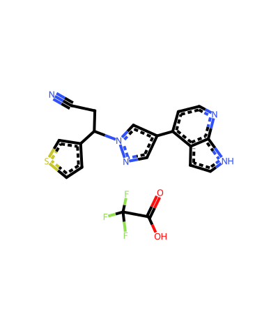 N#CCC(c1ccsc1)n1cc(-c2ccnc3[nH]ccc23)cn1.O=C(O)C(F)(F)F